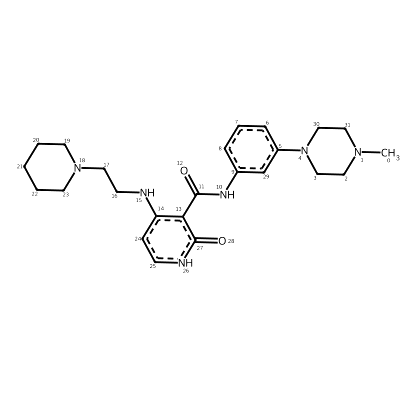 CN1CCN(c2cccc(NC(=O)c3c(NCCN4CCCCC4)cc[nH]c3=O)c2)CC1